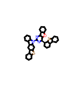 c1ccc2c(c1)oc1c(-c3cccc4c3sc3ccccc34)nc(-n3c4ccccc4c4cc5c(cc43)sc3ccccc35)nc12